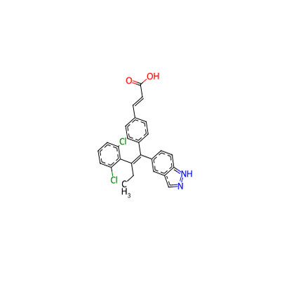 CCC(=C(c1ccc(C=CC(=O)O)cc1)c1ccc2[nH]ncc2c1)c1c(Cl)cccc1Cl